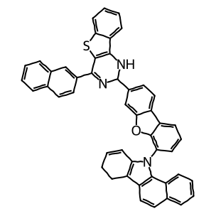 C1=Cc2c(c3ccc4ccccc4c3n2-c2cccc3c2oc2cc(C4N=C(c5ccc6ccccc6c5)c5sc6ccccc6c5N4)ccc23)CC1